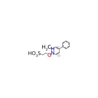 C=C/C=C(\C=C/NOCCS(=O)(=O)O)c1ccccc1